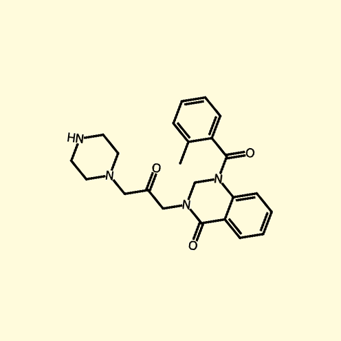 Cc1ccccc1C(=O)N1CN(CC(=O)CN2CCNCC2)C(=O)c2ccccc21